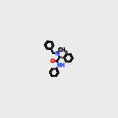 CN(Cc1ccccc1)C(C(=O)Nc1ccccc1)c1ccccc1